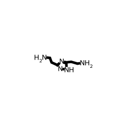 NCCc1n[nH]c(CCN)n1